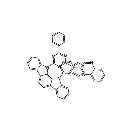 c1ccc(-c2nc(-c3ccccc3)nc(-n3c4ccccc4c4ccc5c6ccccc6n(-c6cccc(-c7cnc8ccccc8n7)c6)c5c43)n2)cc1